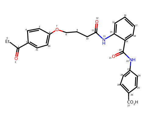 CCC(=O)c1ccc(OCCCC(=O)Nc2ccccc2C(=O)Nc2ccc(C(=O)O)cc2)cc1